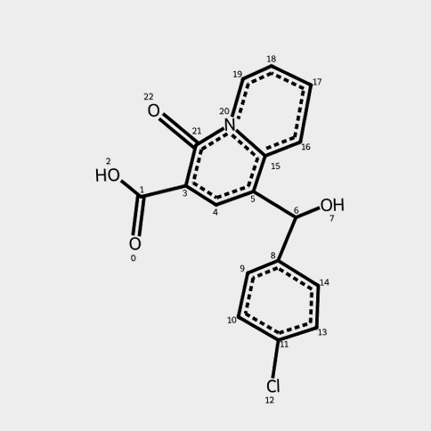 O=C(O)c1cc(C(O)c2ccc(Cl)cc2)c2ccccn2c1=O